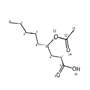 CCCCC[C@@H](CCC(=O)O)OC(C)=O